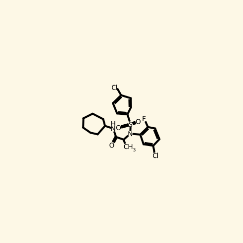 CC(C(=O)NC1CCCCCC1)N(c1cc(Cl)ccc1F)S(=O)(=O)c1ccc(Cl)cc1